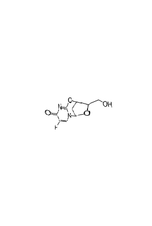 O=c1nc2n(cc1F)C1CC(O2)C(CO)O1